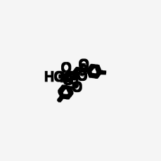 Cc1ccc(S(=O)(=O)CC(CS(=O)(=O)c2ccc(C)cc2)C(=O)NO)cc1